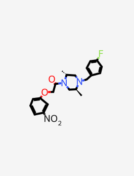 C[C@@H]1CN(Cc2ccc(F)cc2)[C@@H](C)CN1C(=O)COc1cccc([N+](=O)[O-])c1